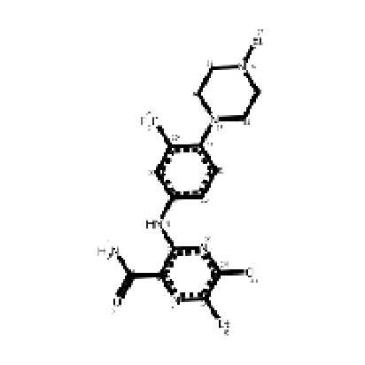 CCc1nc(C(N)=O)c(Nc2ccc(N3CCN(CC)CC3)c(C(F)(F)F)c2)nc1Cl